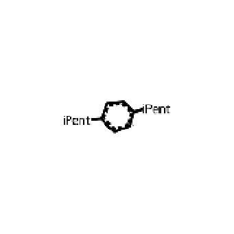 CCCC(C)c1[c]cc(C(C)CCC)cc1